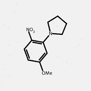 COc1ccc([N+](=O)[O-])c(N2CCCC2)c1